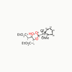 CCOC(=O)CC(O)[C@@H](CC(=O)OCC)OC(=O)[C@](OC)(c1ccccc1)C(F)(F)F